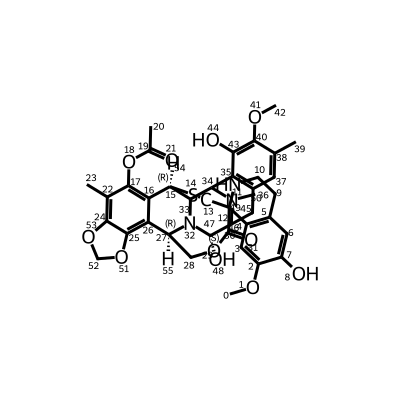 COc1cc2c(cc1O)CCNC21CS[C@@H]2c3c(OC(C)=O)c(C)c4c(c3[C@H](COC1=O)N1C2C2c3c(cc(C)c(OC)c3O)CC([C@@H]1O)N2C)OCO4